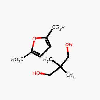 CC(C)(CO)CO.O=C(O)c1ccc(C(=O)O)o1